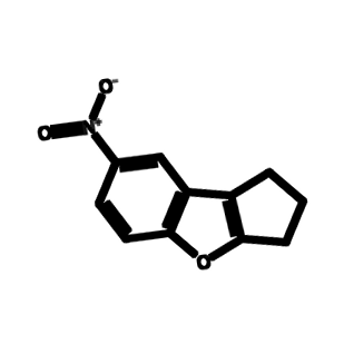 O=[N+]([O-])c1ccc2oc3c(c2c1)CCC3